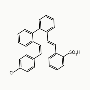 O=S(=O)(O)c1ccccc1C=Cc1ccccc1-c1ccccc1C=Cc1ccc(Cl)cc1